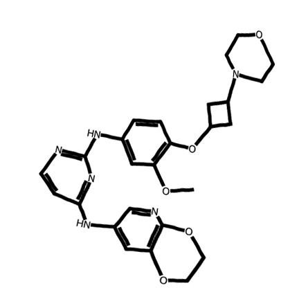 COc1cc(Nc2nccc(Nc3cnc4c(c3)OCCO4)n2)ccc1OC1CC(N2CCOCC2)C1